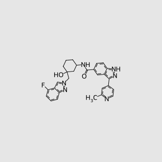 Cc1cc(-c2n[nH]c3ccc(C(=O)NC4CCCC(O)(Cn5cc6c(F)cccc6n5)C4)cc23)ccn1